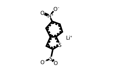 O=[N+]([O-])c1ccc2sc(S(=O)[O-])cc2c1.[Li+]